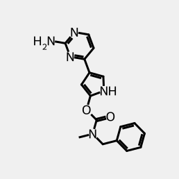 CN(Cc1ccccc1)C(=O)Oc1cc(-c2ccnc(N)n2)c[nH]1